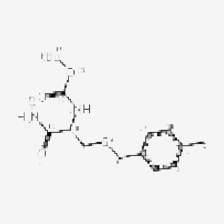 Cc1ccc(CSC[C@H](NC(=O)OC(C)(C)C)C(N)=O)cc1